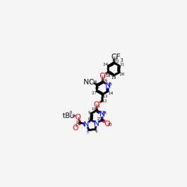 CC(C)(C)OC(=O)N1CCn2c1cc(OCc1cnc(Oc3cccc(C(F)(F)F)c3)c(C#N)c1)nc2=O